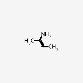 C[C]=C(C)N